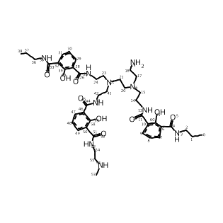 CCCNC(=O)c1cccc(C(=O)NCCN(CCN)CCN(CCNC(=O)c2cccc(C(=O)NCCC)c2O)CCNC(=O)c2cccc(C(=O)NCCNC)c2O)c1O